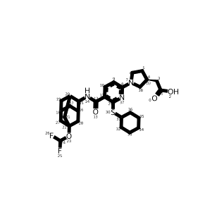 O=C(O)C[C@@H]1CCN(c2ccc(C(=O)NC3C4CC5CC3CC(OC(F)F)(C5)C4)c(SC3CCCCC3)n2)C1